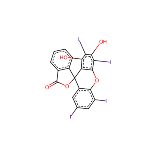 O=C1OC2(c3ccccc31)c1cc(I)cc(I)c1Oc1c(I)c(O)c(I)c(O)c12